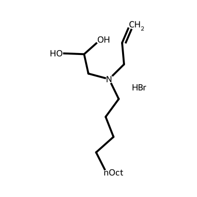 Br.C=CCN(CCCCCCCCCCCC)CC(O)O